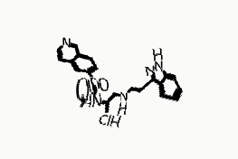 CC(CNCCc1n[nH]c2ccccc12)NS(=O)(=O)c1ccc2cnccc2c1.Cl